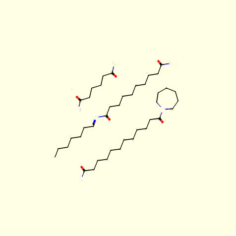 CCCCCCC=NC(=O)CCCCCCCCC(N)=O.NC(=O)CCCCC(N)=O.NC(=O)CCCCCCCCCCC(=O)N1CCCCCC1